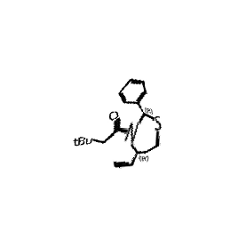 C=C[C@@H]1CS[C@H](c2ccccc2)N1C(=O)CC(C)(C)C